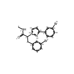 CNC(=O)C(Cc1cccc(Br)c1)n1ccc(-c2cccc(Br)c2)n1